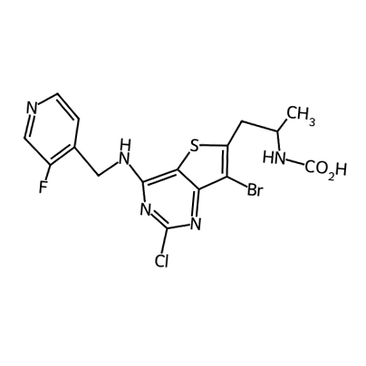 CC(Cc1sc2c(NCc3ccncc3F)nc(Cl)nc2c1Br)NC(=O)O